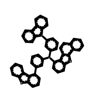 c1cc(-c2cccc3oc4ccccc4c23)cc(N(c2cccc(-n3c4ccccc4c4ccccc43)c2)c2cccc3oc4c5ccccc5ccc4c23)c1